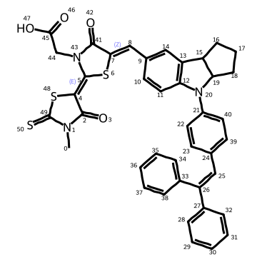 CN1C(=O)/C(=c2\s/c(=C\c3ccc4c(c3)C3CCCC3N4c3ccc(C=C(c4ccccc4)c4ccccc4)cc3)c(=O)n2CC(=O)O)SC1=S